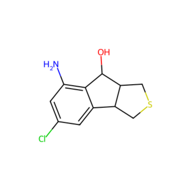 Nc1cc(Cl)cc2c1C(O)C1CSCC21